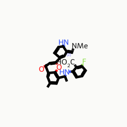 CN/C=C1/C=C(c2cc(=O)c3cc(C)cc(C(C)Nc4cccc(F)c4C(=O)O)c3o2)C=CC1=N